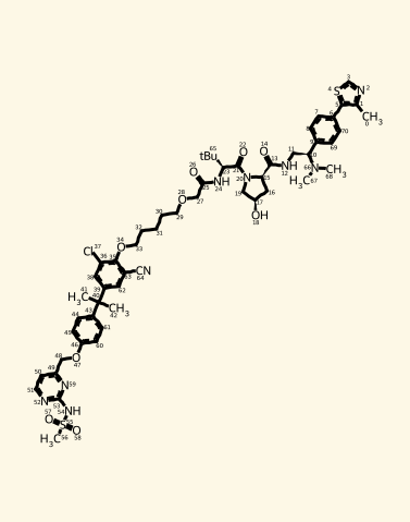 Cc1ncsc1-c1ccc([C@H](CNC(=O)[C@H]2C[C@@H](O)CN2C(=O)[C@@H](NC(=O)COCCCCCOc2c(Cl)cc(C(C)(C)c3ccc(OCc4ccnc(NS(C)(=O)=O)n4)cc3)cc2C#N)C(C)(C)C)N(C)C)cc1